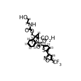 O=C(NCCO)OC[C@@]1(c2ccccc2)C[C@]1(NS(=O)(=O)c1ccc(-c2cc(C(F)(F)F)on2)s1)C(=O)O